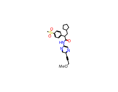 COCC#Cc1cnc(NC(=O)C(CC2CCCC2)c2ccc(S(C)(=O)=O)cc2)cn1